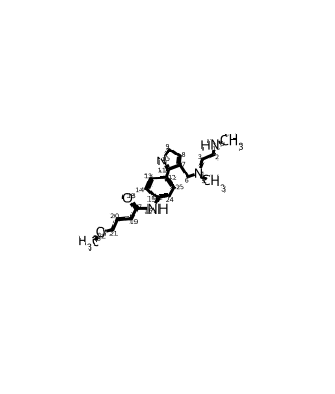 CNCCN(C)CC1=CCN=C1c1ccc(NC(=O)CCCOC)cc1